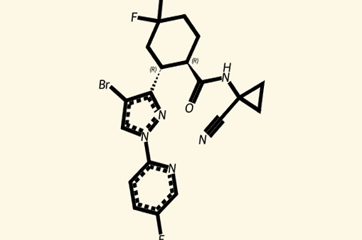 N#CC1(NC(=O)[C@@H]2CCC(F)(F)C[C@H]2c2nn(-c3ccc(F)cn3)cc2Br)CC1